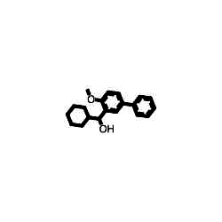 COc1ccc(-c2ccccc2)cc1C(O)C1CCCCC1